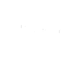 CC(O)c1cccc2c1OC(F)(F)C(=O)N2Cc1ccc(F)cc1F